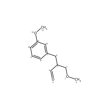 COCC(C=O)Cc1cccc(OC)c1